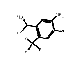 CC(C)c1cc(N)c(F)cc1C(F)(F)F